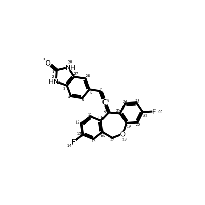 O=c1[nH]c2ccc(C=C=C3c4ccc(F)cc4COc4cc(F)ccc43)cc2[nH]1